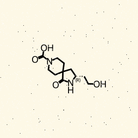 O=C(O)N1CCC2(CC1)C[C@H](CCO)NC2=O